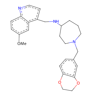 COc1ccc2nccc(CNC3CCCN(Cc4ccc5c(c4)OCCO5)CC3)c2c1